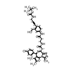 Cc1sc2c(c1C)C(c1ccc(Cl)cc1)=N[C@@H](CC(=O)NCCC(=O)Nc1ccc(C#CCNC(=O)OC(C)(C)C)c(CO)c1)c1nnc(C)n1-2